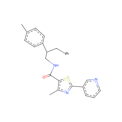 Cc1ccc(C(CNC(=O)c2sc(-c3cccnc3)nc2C)CC(C)C)cc1